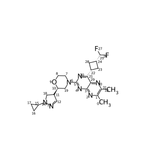 Cc1nc2nc(N3CCO[C@H](C4C=NN(C5CC5)C4)C3)nc([C@H]3C[C@@H](C(F)F)C3)c2nc1C